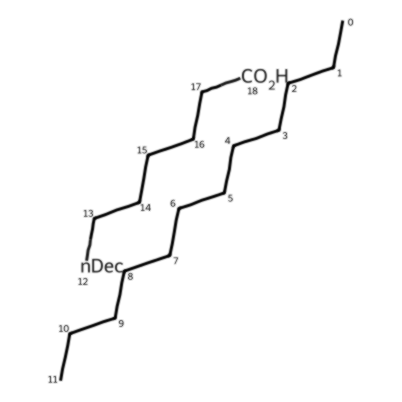 CCCCCCCCCCCC.CCCCCCCCCCCCCCCC(=O)O